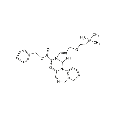 C[Si](C)(C)CCOCC1=CN(NC(=O)OCc2ccccc2)C(N2C(=O)C=NCc3ccccc32)N1